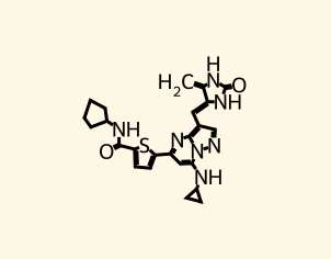 C=c1[nH]c(=O)[nH]/c1=C\c1cnn2c(NC3CC3)cc(-c3ccc(C(=O)NC4CCCC4)s3)nc12